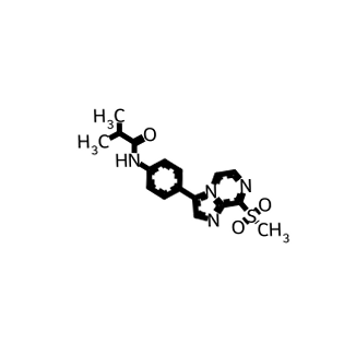 CC(C)C(=O)Nc1ccc(-c2cnc3c(S(C)(=O)=O)nccn23)cc1